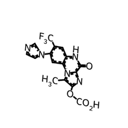 Cc1c(OC(=O)O)nc2c(=O)[nH]c3cc(C(F)(F)F)c(-n4ccnc4)cc3n12